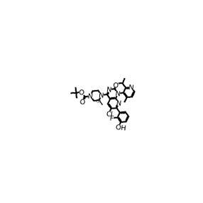 Cc1ccnc(C(C)C)c1-n1c(=O)nc(N2CCN(C(=O)OC(C)(C)C)C[C@@H]2C)c2cc(Cl)c(-c3cccc(O)c3F)nc21